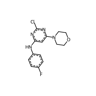 Fc1ccc(Nc2cc(N3CCOCC3)nc(Cl)n2)cc1